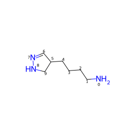 NCCCCC1C=NNC1